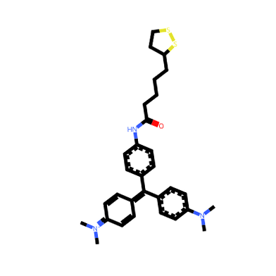 CN(C)c1ccc(C(=C2C=CC(=[N+](C)C)C=C2)c2ccc(NC(=O)CCCCC3CCSS3)cc2)cc1